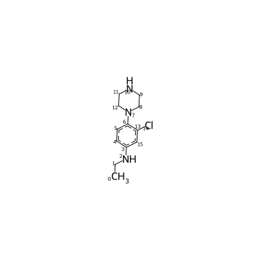 CCNc1ccc(N2CCNCC2)c(Cl)c1